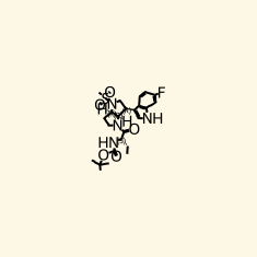 CC[C@H](NC(=O)OC(C)(C)C)C(=O)N1CC[C@@H]2[C@H]1[C@H](c1c[nH]c3cc(F)ccc13)CN2S(C)(=O)=O